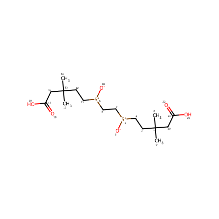 CC(C)(CC[S+]([O-])CC[S+]([O-])CCC(C)(C)CC(=O)O)CC(=O)O